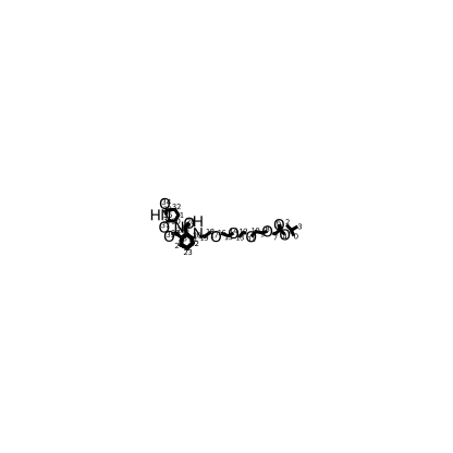 CC(C)(C)OC(=O)COCCOCCOCCOCCNc1cccc2c1C(=O)N(C1CCC(=O)NC1=O)C2=O